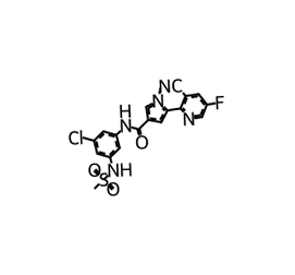 Cn1cc(C(=O)Nc2cc(Cl)cc(NS(C)(=O)=O)c2)cc1-c1ncc(F)cc1C#N